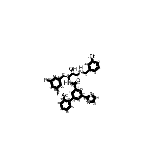 CCc1cccc(CNC[C@@H](O)[C@H](Cc2cc(F)cc(F)c2)NC(=O)c2cc(-c3nccs3)cc(-c3ccccc3C(C)=O)c2)c1